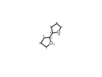 C1COC(C2CCCO2)C1